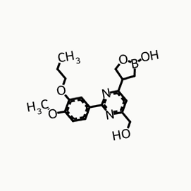 CCCOc1cc(-c2nc(CO)cc(C3COB(O)C3)n2)ccc1OC